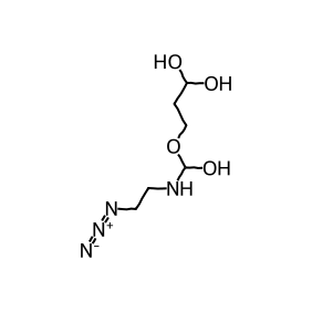 [N-]=[N+]=NCCNC(O)OCCC(O)O